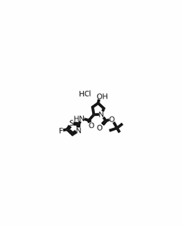 CC(C)(C)OC(=O)N1CC(O)CC1C(=O)Nc1ncc(F)s1.Cl